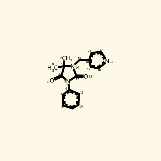 CC1(C)C(=O)N(c2ccccc2)C(=O)N1Cc1ccncc1